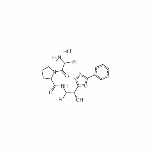 CC(C)C(N)C(=O)N1CCCC1C(=O)NC(C(C)C)[C@H](O)c1nnc(-c2ccccc2)o1.Cl